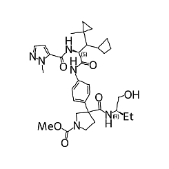 CC[C@H](CO)NC(=O)C1(c2ccc(NC(=O)[C@@H](NC(=O)c3ccnn3C)C(C3CCC3)C3(C)CC3)cc2)CCN(C(=O)OC)C1